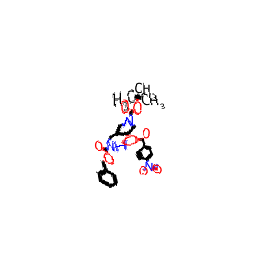 CC(C)(C)OC(=O)N1CC(CNC(=O)OCc2ccccc2)C(OC(=O)c2ccc([N+](=O)[O-])cc2)C1